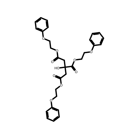 O=C(CC(O)(CC(=O)OCCOc1ccccc1)C(=O)OCCOc1ccccc1)OCCOc1ccccc1